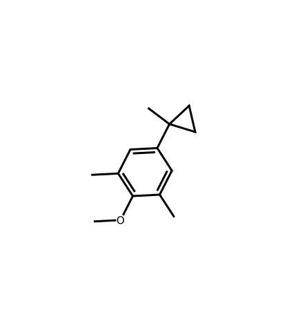 COc1c(C)cc(C2(C)CC2)cc1C